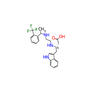 CC(NCCN[C@H](CC(=O)O)Cc1c[nH]c2ccccc12)c1ccccc1C(F)(F)F